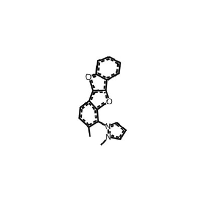 Cc1ccc2c(oc3c4ccccc4oc23)c1-n1ccc[n+]1C